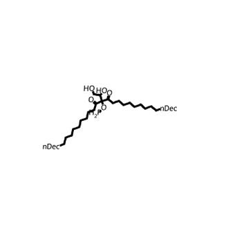 CCCCCCCCCCCCCCCCCCCC(=O)C(OP)(C(=O)CCCCCCCCCCCCCCCCCCC)C(O)CO